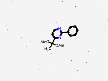 COC(C)(OC)c1ccnc(-c2ccccc2)n1